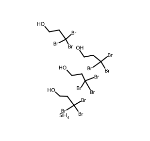 OCCC(Br)(Br)Br.OCCC(Br)(Br)Br.OCCC(Br)(Br)Br.OCCC(Br)(Br)Br.[SiH4]